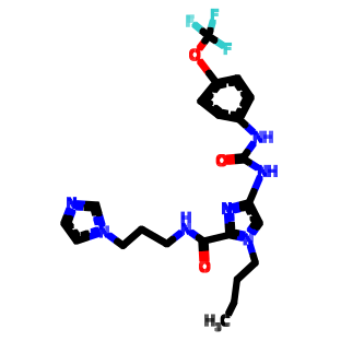 CCCCn1cc(NC(=O)Nc2ccc(OC(F)(F)F)cc2)nc1C(=O)NCCCn1ccnc1